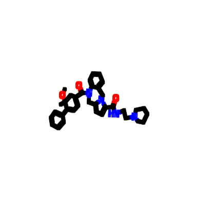 COC1(C)CC(C(=O)N2Cc3ccc(C(=O)NCCN4CCCCC4)n3Cc3ccccc32)=CC=C1c1ccccc1